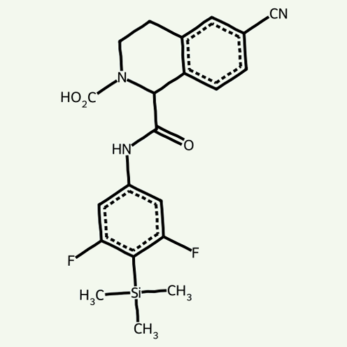 C[Si](C)(C)c1c(F)cc(NC(=O)C2c3ccc(C#N)cc3CCN2C(=O)O)cc1F